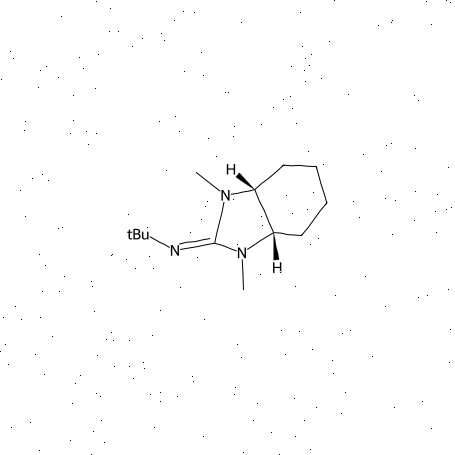 CN1C(=NC(C)(C)C)N(C)[C@H]2CCCC[C@H]21